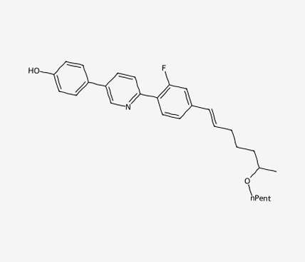 CCCCCOC(C)CCC/C=C/c1ccc(-c2ccc(-c3ccc(O)cc3)cn2)c(F)c1